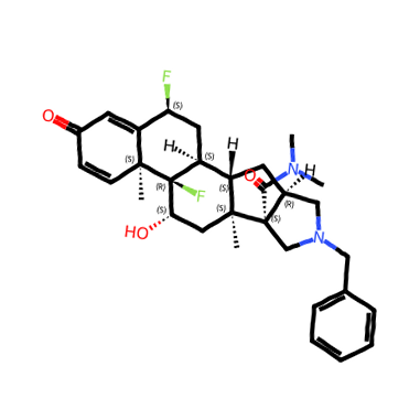 CN(C)C(=O)[C@@]12CN(Cc3ccccc3)C[C@@H]1C[C@H]1[C@@H]3C[C@H](F)C4=CC(=O)C=C[C@]4(C)[C@@]3(F)[C@@H](O)C[C@@]12C